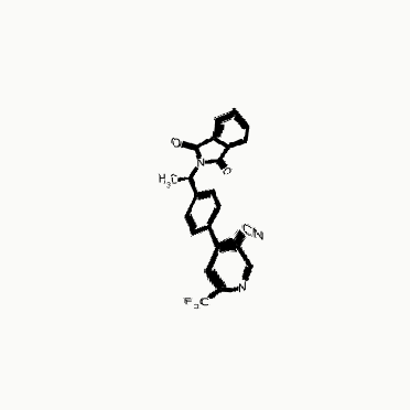 C[C@H](c1ccc(-c2cc(C(F)(F)F)ncc2C#N)cc1)N1C(=O)c2ccccc2C1=O